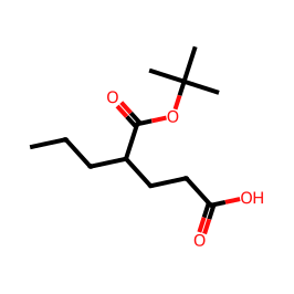 CCCC(CCC(=O)O)C(=O)OC(C)(C)C